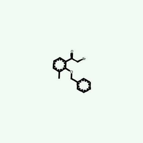 Cc1cccc(C(=O)CBr)c1OCc1ccccc1